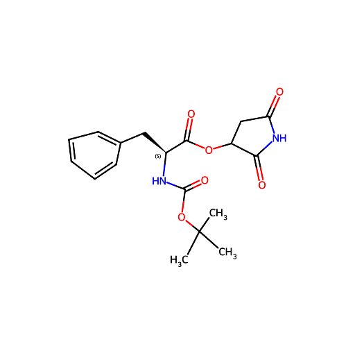 CC(C)(C)OC(=O)N[C@@H](Cc1ccccc1)C(=O)OC1CC(=O)NC1=O